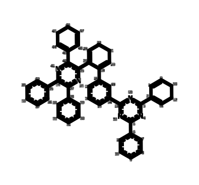 C1=CC(c2nc(-c3ccccc3)nc(-c3cccc(C4=CCCC=C4c4nc(-c5ccccc5)c(-c5ccccc5)nc4C4=CCCC=C4)c3)n2)=CCC1